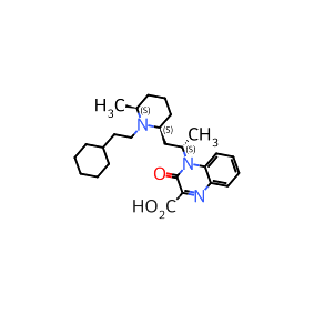 C[C@H]1CCC[C@@H](C[C@H](C)n2c(=O)c(C(=O)O)nc3ccccc32)N1CCC1CCCCC1